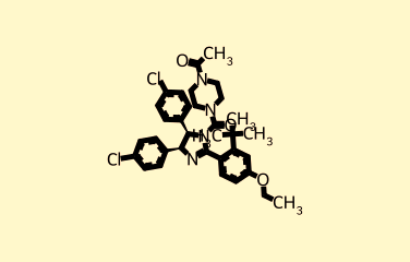 CCOc1ccc(C2=N[C@@H](c3ccc(Cl)cc3)[C@@H](c3ccc(Cl)cc3)N2C(=O)N2CCN(C(C)=O)CC2)c(C(C)(C)C)c1